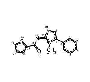 Cn1c(-c2ccccc2)cs/c1=N/C(=O)c1cccs1